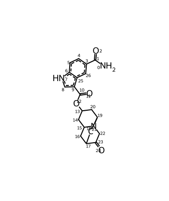 NC(=O)c1ccc2[nH]cc(C(=O)OC3CC4CC5CC(C3)N4CC5=O)c2c1